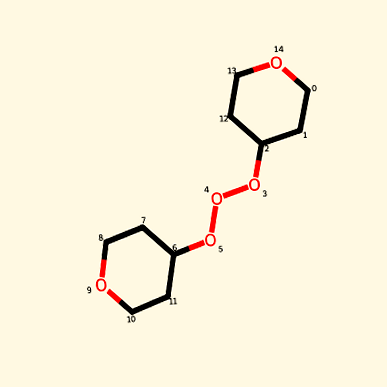 C1CC(OOOC2CCOCC2)CCO1